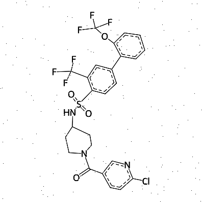 O=C(c1ccc(Cl)nc1)N1CCC(NS(=O)(=O)c2ccc(-c3ccccc3OC(F)(F)F)cc2C(F)(F)F)CC1